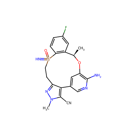 C[C@H]1Oc2cc(cnc2N)-c2c(nn(C)c2C#N)CCS(=N)(=O)c2ccc(F)cc21